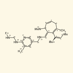 CCCC/C=C(\C1=C(C)CC=CC(NC)/C1=C\NCc1cnc(NCNF)c(C)c1)[C@H](C)CC